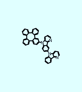 c1ccc2c(c1)-c1ccccc1-c1ccc(-n3c4ccc(-n5c6ccccc6c6ncccc65)cc4c4ncccc43)cc1-c1ccccc1-2